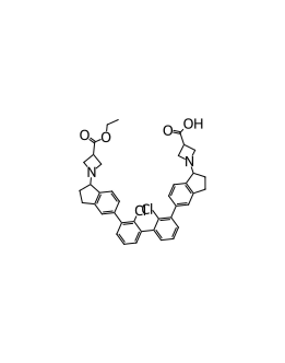 CCOC(=O)C1CN(C2CCc3cc(-c4cccc(-c5cccc(-c6ccc7c(c6)CCC7N6CC(C(=O)O)C6)c5Cl)c4Cl)ccc32)C1